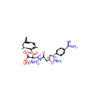 Cc1cc(C)c(S(=O)(=O)[C@@](N)(CNC(=O)C[C@H]2C[C@@H](c3ccc(C(=N)N)cc3)NO2)C(=O)O)c(C)c1